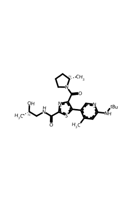 Cc1cc(NC(C)(C)C)ncc1-c1sc(C(=O)NC[C@H](C)O)nc1C(=O)N1CCC[C@@H]1C